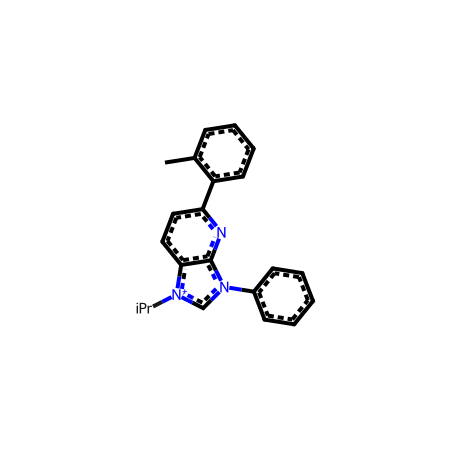 Cc1ccccc1-c1ccc2c(n1)n(-c1ccccc1)c[n+]2C(C)C